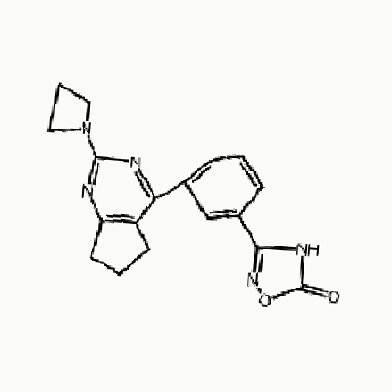 O=c1[nH]c(-c2cccc(-c3nc(N4CCC4)nc4c3CCC4)c2)no1